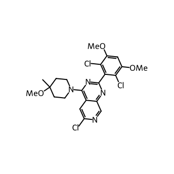 COc1cc(OC)c(Cl)c(-c2nc(N3CCC(C)(OC)CC3)c3cc(Cl)ncc3n2)c1Cl